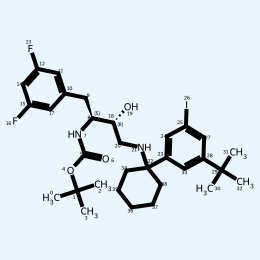 CC(C)(C)OC(=O)N[C@@H](Cc1cc(F)cc(F)c1)[C@H](O)CNC1(c2cc(I)cc(C(C)(C)C)c2)CCCCC1